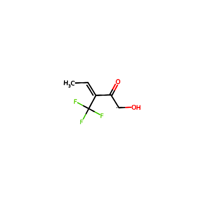 CC=C(C(=O)[CH]O)C(F)(F)F